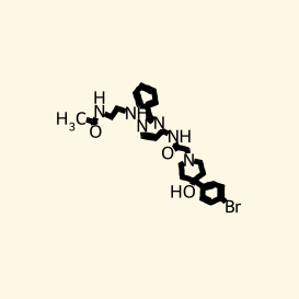 CC(=O)NCCNc1ccccc1-c1nccc(NC(=O)CN2CCC(O)(c3ccc(Br)cc3)CC2)n1